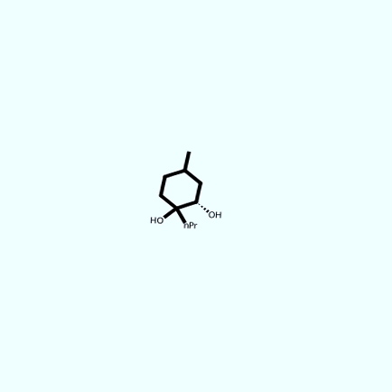 CCCC1(O)CCC(C)C[C@@H]1O